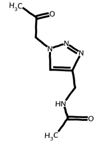 CC(=O)Cn1cc(CNC(C)=O)nn1